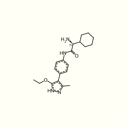 CCOc1[nH]nc(C)c1-c1ccc(NC(=O)[C@@H](N)C2CCCCC2)cc1